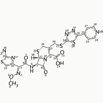 CON=C(C(=O)N[C@@H]1C(=O)N2C(C(=O)O)=C(CSc3nnc(-c4ccncc4)s3)CS[C@@H]12)c1csc(N)n1